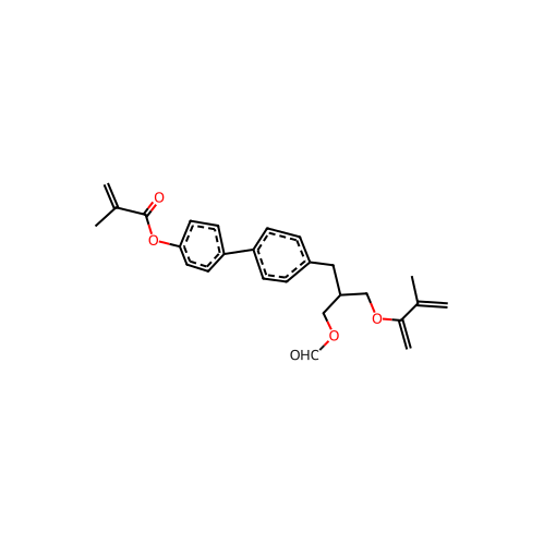 C=C(C)C(=C)OCC(COC=O)Cc1ccc(-c2ccc(OC(=O)C(=C)C)cc2)cc1